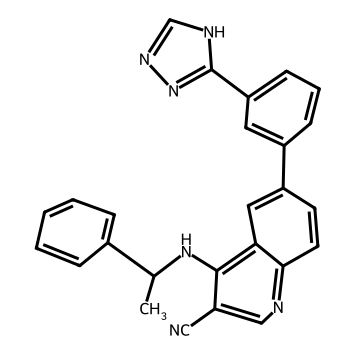 CC(Nc1c(C#N)cnc2ccc(-c3cccc(-c4nnc[nH]4)c3)cc12)c1ccccc1